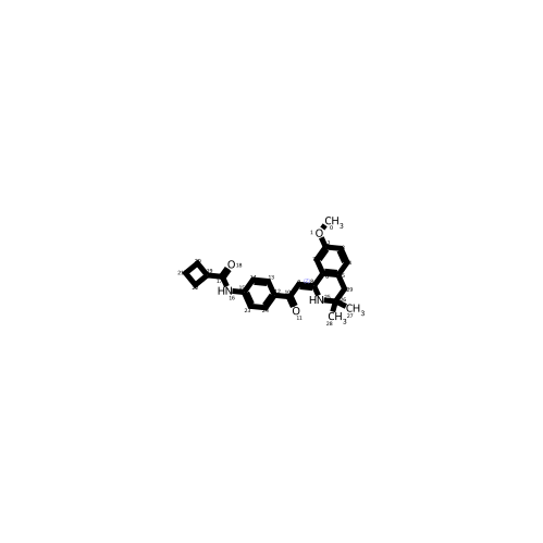 COc1ccc2c(c1)/C(=C/C(=O)c1ccc(NC(=O)C3CCC3)cc1)NC(C)(C)C2